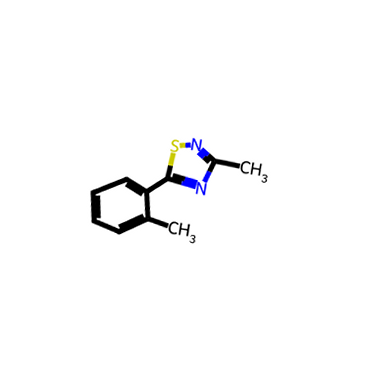 Cc1nsc(-c2ccccc2C)n1